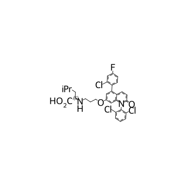 CC(C)C[C@H](NCCCOc1cc(-c2ccc(F)cc2Cl)c2ccc(=O)n(-c3c(Cl)cccc3Cl)c2c1)C(=O)O